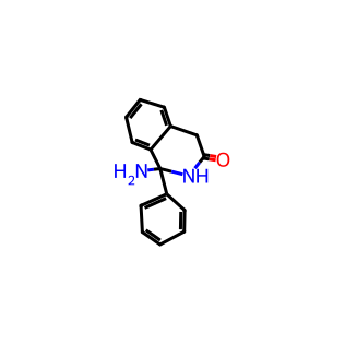 NC1(c2ccccc2)NC(=O)Cc2ccccc21